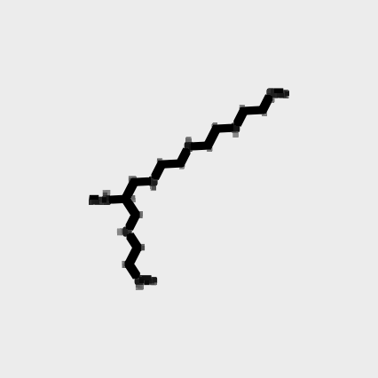 COCCOCCOCCOCC(COCCOC)OC